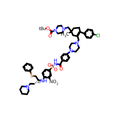 CC1(CN2CCN(C(=O)OC(C)(C)C)CC2)CCC(c2ccc(Cl)cc2)=C(CN2CCN(c3ccc(C(=O)NS(=O)(=O)c4ccc(N[C@H](CCN5CCCCC5)CSc5ccccc5)c([N+](=O)[O-])c4)cc3)CC2)C1